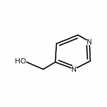 OCc1ccncn1